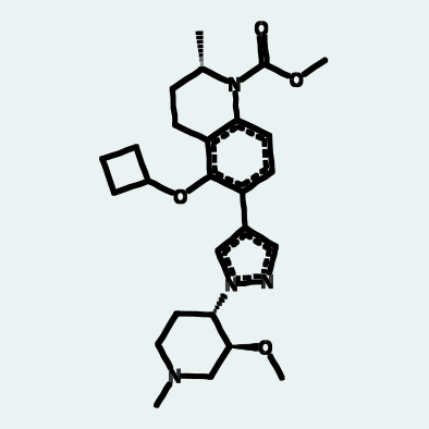 COC(=O)N1c2ccc(-c3cnn([C@H]4CCN(C)C[C@@H]4OC)c3)c(OC3CCC3)c2CC[C@@H]1C